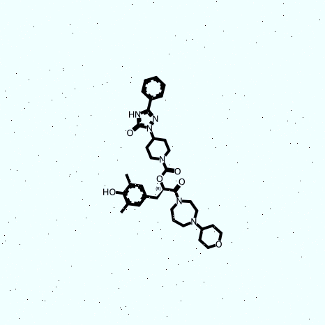 Cc1cc(C[C@@H](OC(=O)N2CCC(n3nc(-c4ccccc4)[nH]c3=O)CC2)C(=O)N2CCCN(C3CCOCC3)CC2)cc(C)c1O